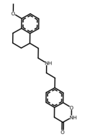 COc1cccc2c1CCCC2CCNCCc1ccc2c(c1)ONC(=O)C2